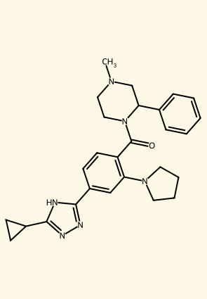 CN1CCN(C(=O)c2ccc(-c3nnc(C4CC4)[nH]3)cc2N2CCCC2)C(c2ccccc2)C1